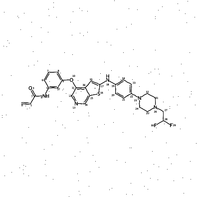 C=CC(=O)Nc1cccc(Oc2cncc3sc(Nc4ccc(N5CCN(CC(F)F)CC5)cc4)cc23)c1